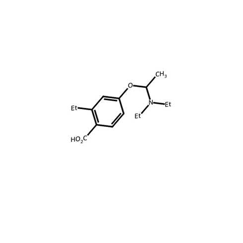 CCc1cc(OC(C)N(CC)CC)ccc1C(=O)O